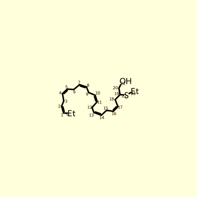 CC/C=C\C/C=C\C/C=C\C/C=C\C/C=C\C/C=C\CC(CO)SCC